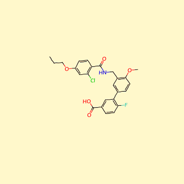 CCCOc1ccc(C(=O)NCc2cc(-c3cc(C(=O)O)ccc3F)ccc2OC)c(Cl)c1